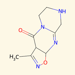 CC1=NOC2N=C3CNCCN3C(=O)C12